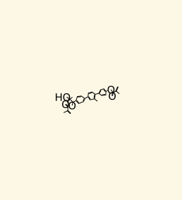 C=C(C)C(=O)Oc1ccc(-c2ccc(-c3ccc(C(OC(=O)C(=C)C)C(C)(C)O)cc3)cc2C)cc1